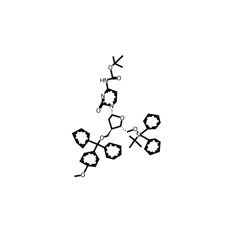 COc1ccc(C(OC[C@H]2C[C@H](n3ccc(NC(=O)OC(C)(C)C)nc3=O)O[C@@H]2CO[Si](c2ccccc2)(c2ccccc2)C(C)(C)C)(c2ccccc2)c2ccccc2)cc1